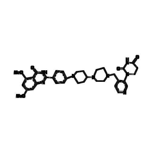 COc1cc(OC)c2c(=O)[nH]c(-c3ccc(N4CCC(N5CCN(Cc6ccncc6N6CCC(=O)NC6=O)CC5)CC4)cc3)nc2c1